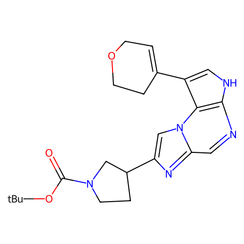 CC(C)(C)OC(=O)N1CCC(c2cn3c(cnc4[nH]cc(C5=CCOCC5)c43)n2)C1